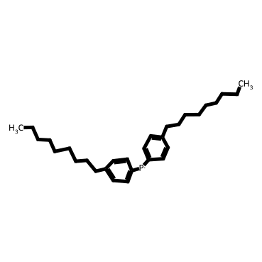 CCCCCCCCCc1ccc([P]c2ccc(CCCCCCCCC)cc2)cc1